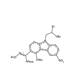 CCCCC/C(=N\OC(C)=O)c1ccc2c(c1OC)c1cc([N+](=O)[O-])ccc1n2CC(CC)CCCC